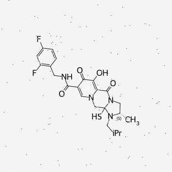 CC(C)CN1[C@@H](C)CN2C(=O)c3c(O)c(=O)c(C(=O)NCc4ccc(F)cc4F)cn3CC21S